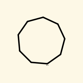 [C]1CCCCCCCC1